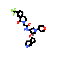 O=C(CN1CCc2ccc(C(F)(F)F)cc2C1=O)NC1CN(C2CCOCC2)C[C@@H]1OC1CCc2cnccc21